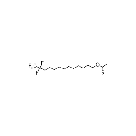 CC(=S)OCCCCCCCCCCCC(F)(F)C(F)(F)F